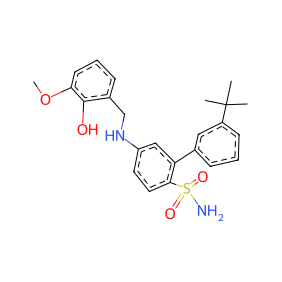 COc1cccc(CNc2ccc(S(N)(=O)=O)c(-c3cccc(C(C)(C)C)c3)c2)c1O